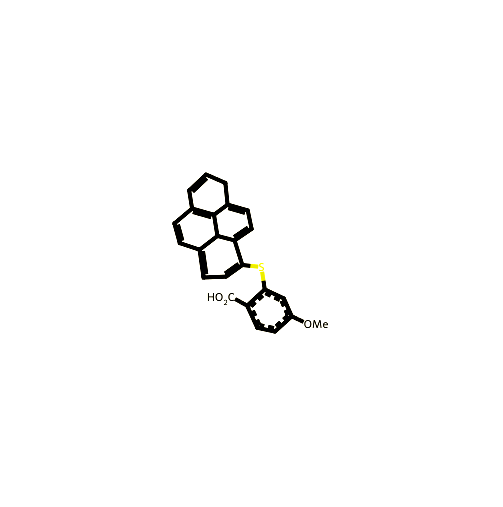 COc1ccc(C(=O)O)c(SC2=CC=C3C=CC4=C5C(=CC=C2C35)CC=C4)c1